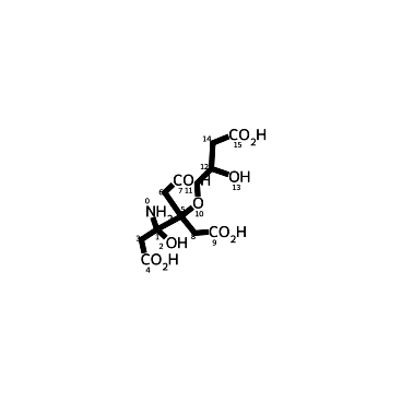 NC(O)(CC(=O)O)C(CC(=O)O)(CC(=O)O)OCC(O)CC(=O)O